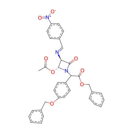 CC(=O)O[C@@H]1[C@@H](N=Cc2ccc([N+](=O)[O-])cc2)C(=O)N1C(C(=O)OCc1ccccc1)c1ccc(OCc2ccccc2)cc1